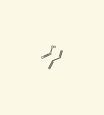 C=CC=C.O=NO